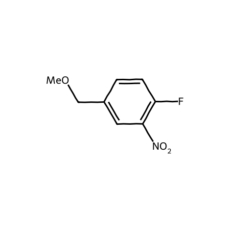 COCc1ccc(F)c([N+](=O)[O-])c1